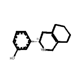 Oc1cccc([C@@H]2CC3=C(CCCC3)CN2)c1